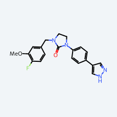 COc1cc(CN2CCN(c3ccc(-c4cn[nH]c4)cc3)C2=O)ccc1F